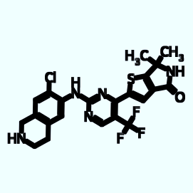 CC1(C)NC(=O)c2cc(-c3nc(Nc4cc5c(cc4Cl)CNCC5)ncc3C(F)(F)F)sc21